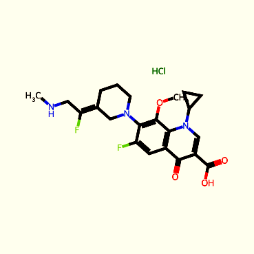 CNCC(F)=C1CCCN(c2c(F)cc3c(=O)c(C(=O)O)cn(C4CC4)c3c2OC)C1.Cl